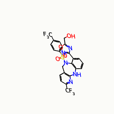 O=S(=O)(c1ccc(C(F)(F)F)cc1)N1Cc2ccc(C(F)(F)F)nc2Nc2cccc(-c3noc(CO)n3)c21